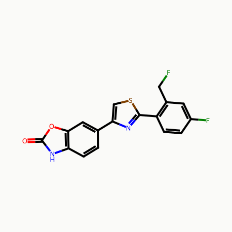 O=c1[nH]c2ccc(-c3csc(-c4ccc(F)cc4CF)n3)cc2o1